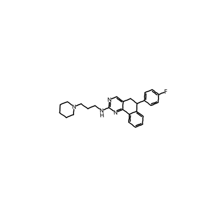 Fc1ccc(C2Cc3cnc(NCCCN4CCCCC4)nc3-c3ccccc32)cc1